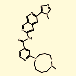 CN1CCCCN(c2cc(C(=O)Nc3cc4cc(-c5cncn5C)ncc4cn3)ccn2)CCCC1